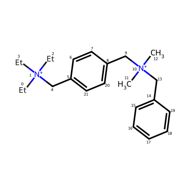 CC[N+](CC)(CC)Cc1ccc(C[N+](C)(C)Cc2ccccc2)cc1